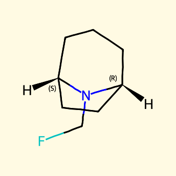 FCN1[C@@H]2CCC[C@H]1CC2